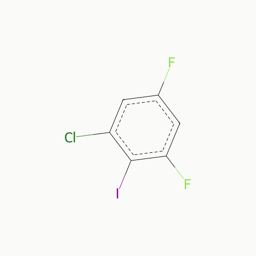 Fc1cc(F)c(I)c(Cl)c1